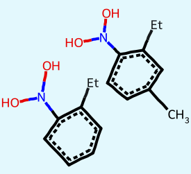 CCc1cc(C)ccc1N(O)O.CCc1ccccc1N(O)O